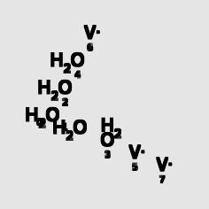 O.O.O.O.O.[V].[V].[V]